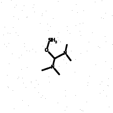 CN(C)C(O[SiH3])N(C)C